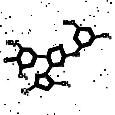 COc1cc(C)cc(Nc2ncc(-c3cc(C(=O)O)c(=O)n(C)c3)c(-n3nc(C(F)(F)F)cc3C)n2)c1